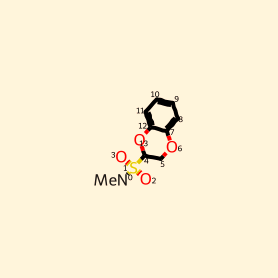 CNS(=O)(=O)C1COc2ccccc2O1